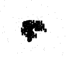 B[C@@H]1O[C@H](COP(=O)(OC2[C@@H](CO)OC3(B=B3)[C@H]2OC)SCc2ccc(NC(=O)c3ccccc3)n2C)C(O)[C@@H]1OC